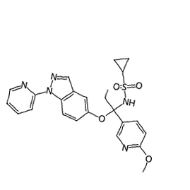 CCC(NS(=O)(=O)C1CC1)(Oc1ccc2c(cnn2-c2ccccn2)c1)c1ccc(OC)nc1